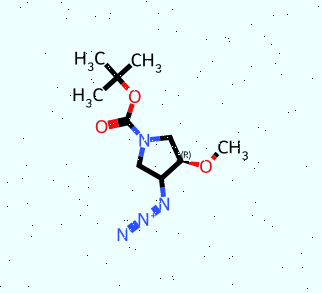 CO[C@@H]1CN(C(=O)OC(C)(C)C)CC1N=[N+]=[N-]